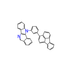 c1cc(-c2ccc3c4c(cccc24)-c2ccccc2-3)cc(-n2c3ccccc3c3ncc4ccccc4c32)c1